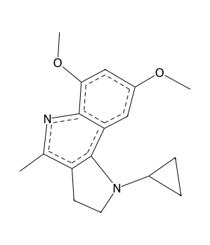 COc1cc(OC)c2nc(C)c3c(c2c1)N(C1CC1)CC3